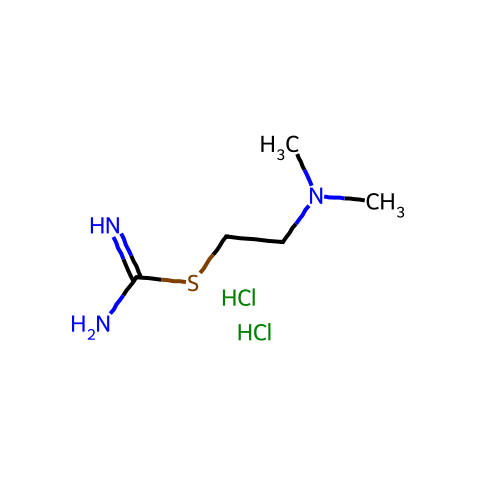 CN(C)CCSC(=N)N.Cl.Cl